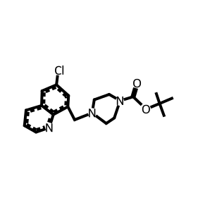 CC(C)(C)OC(=O)N1CCN(Cc2cc(Cl)cc3cccnc23)CC1